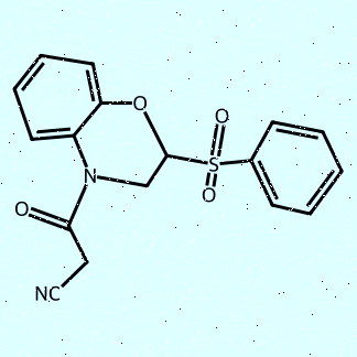 N#CCC(=O)N1CC(S(=O)(=O)c2ccccc2)Oc2ccccc21